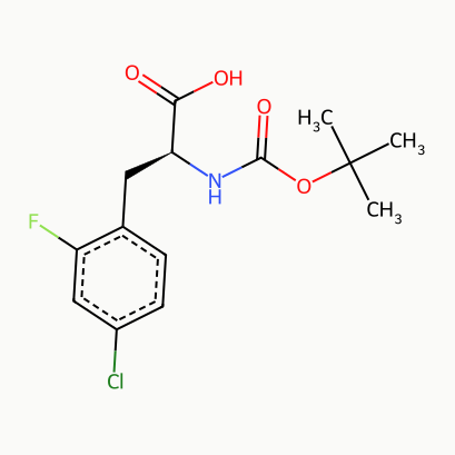 CC(C)(C)OC(=O)N[C@@H](Cc1ccc(Cl)cc1F)C(=O)O